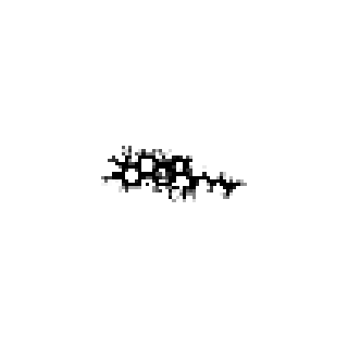 C=C(CCC=C(C)C)C1CC[C@]2(C)C1[C@H](O)CC1[C@@]3(C)CCC(C)C(C)(C)C3CC[C@]12C